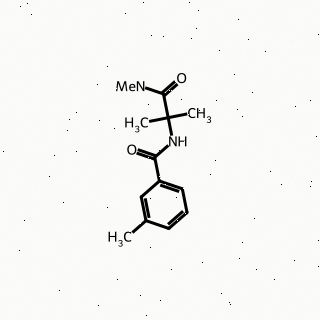 CNC(=O)C(C)(C)NC(=O)c1cccc(C)c1